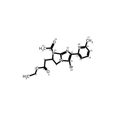 CCOC(=O)CC1Cn2c(nc(-c3cccc(C)n3)c2Br)N1C(C)=O